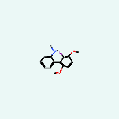 COc1ccc(OC)c(-c2ccccc2N(C)C)c1I